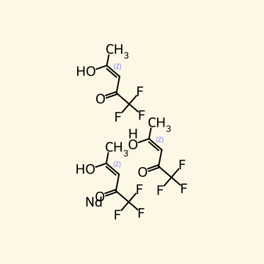 C/C(O)=C/C(=O)C(F)(F)F.C/C(O)=C/C(=O)C(F)(F)F.C/C(O)=C/C(=O)C(F)(F)F.[Nd]